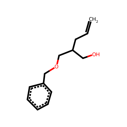 C=CCC(CO)COCc1ccccc1